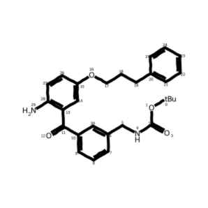 CC(C)(C)OC(=O)NCc1cccc(C(=O)c2cc(OCCCc3ccccc3)ccc2N)c1